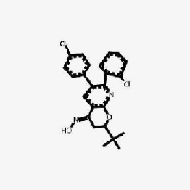 CC(C)(C)C1C/C(=N\O)c2cc(-c3ccc(Cl)cc3)c(-c3ccccc3Cl)nc2O1